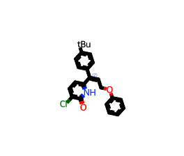 CC(C)(C)c1ccc(/C(=C/COc2ccccc2)c2ccc(Cl)c(=O)[nH]2)cc1